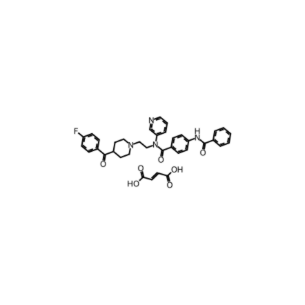 O=C(Nc1ccc(C(=O)N(CCN2CCC(C(=O)c3ccc(F)cc3)CC2)c2cccnc2)cc1)c1ccccc1.O=C(O)C=CC(=O)O